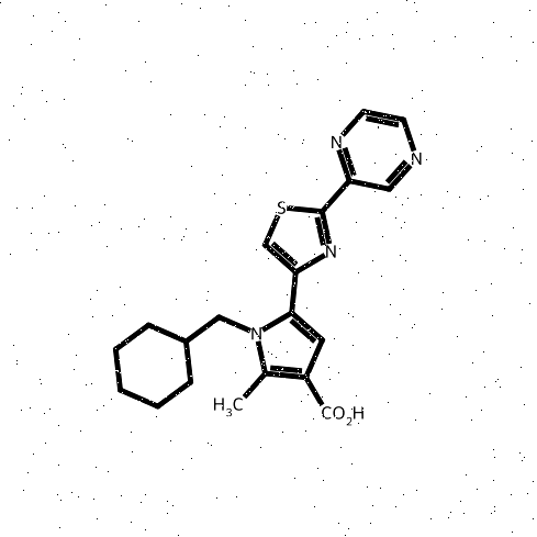 Cc1c(C(=O)O)cc(-c2csc(-c3cnccn3)n2)n1CC1CCCCC1